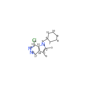 Cc1c(C)n(CC2CCCCC2)c2c(Cl)nncc12